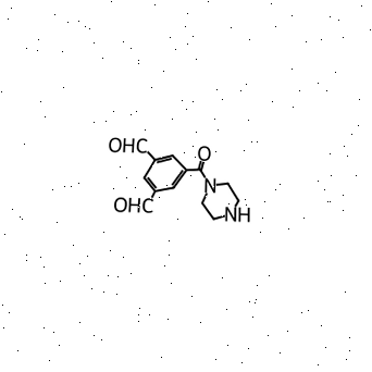 O=Cc1cc(C=O)cc(C(=O)N2CCNCC2)c1